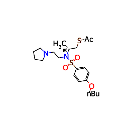 CCCCOc1ccc(S(=O)(=O)N(CCN2CCCC2)[C@H](C)CSC(C)=O)cc1